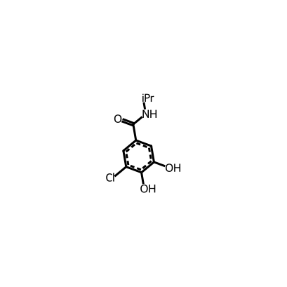 CC(C)NC(=O)c1cc(O)c(O)c(Cl)c1